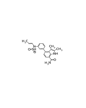 CC=CN(c1cccc(-c2ccc(C(N)=O)c3[nH]c(C)c(C)c23)c1)[SH](=O)=O